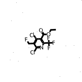 CCOC(=O)c1c(C(F)(F)F)nc(Cl)c(CF)c1Cl